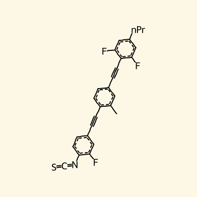 CCCc1cc(F)c(C#Cc2ccc(C#Cc3ccc(N=C=S)c(F)c3)c(C)c2)c(F)c1